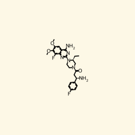 CC[C@H]1CN(C(=O)C[C@@H](N)c2ccc(F)cc2)CCN1c1nc(N)c2cc(OC)c(OC)c(F)c2n1